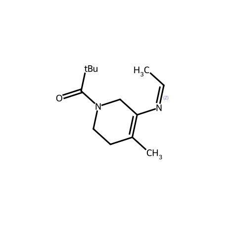 C/C=N\C1=C(C)CCN(C(=O)C(C)(C)C)C1